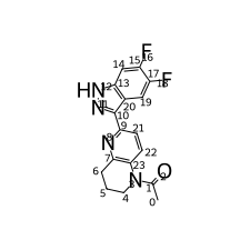 CC(=O)N1CCCc2nc(-c3n[nH]c4cc(F)c(F)cc34)ccc21